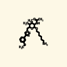 COc1cccc(-c2cn(CC3OC(OCCCCCCN)C(NC(C)=O)C(C)C3C)nn2)c1